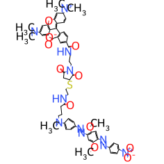 COc1cc(/N=N/c2ccc([N+](=O)[O-])cc2)c(OC)cc1/N=N/c1ccc(N(C)CCCC(=O)NCCSC2CC(=O)N(CCCNC(=O)c3ccc(-c4c5ccc(=[N+](C)C)cc-5oc5cc(N(C)C)ccc45)c(C(=O)[O-])c3)C2=O)cc1